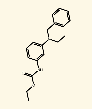 CCOC(=O)Nc1cccc(N(CC)Cc2ccccc2)c1